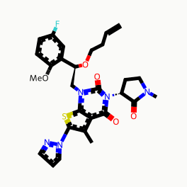 C=CCCO[C@@H](Cn1c(=O)n([C@@H]2CCN(C)C2=O)c(=O)c2c(C)c(-n3cccn3)sc21)c1cc(F)ccc1OC